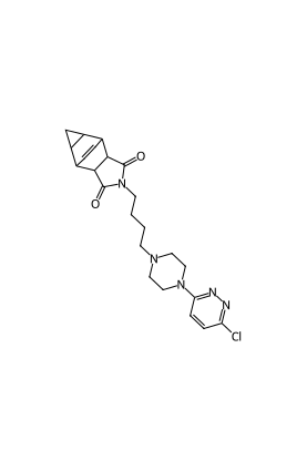 O=C1C2C3C=CC(C4CC34)C2C(=O)N1CCCCN1CCN(c2ccc(Cl)nn2)CC1